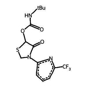 CC(C)(C)NC(=O)OC1SCN(c2cccc(C(F)(F)F)n2)C1=O